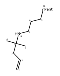 C=CCC(C)(C)NCCCCCCCC